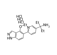 CCOc1c(-c2ccc(C(N)(CC)CC)cn2)ccc2[nH]ncc12.Cl.Cl.Cl